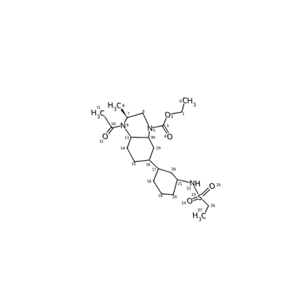 CCOC(=O)N1C[C@H](C)N(C(C)=O)C2CCC(C3CCCC(NS(=O)(=O)CC)C3)CC21